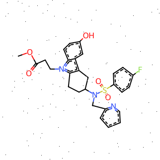 COC(=O)CCn1c2c(c3cc(O)ccc31)CC(N(Cc1ccccn1)S(=O)(=O)c1ccc(F)cc1)CC2